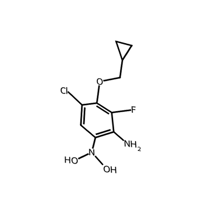 Nc1c(N(O)O)cc(Cl)c(OCC2CC2)c1F